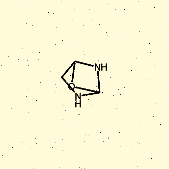 C1N[C]2NC1O2